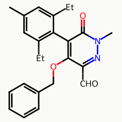 CCc1cc(C)cc(CC)c1-c1c(OCc2ccccc2)c(C=O)nn(C)c1=O